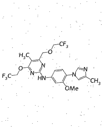 COc1cc(Nc2nc(COCC(F)(F)F)c(C)c(OCC(F)(F)F)n2)ccc1-n1cnc(C)c1